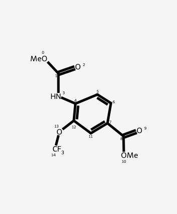 COC(=O)Nc1ccc(C(=O)OC)cc1OC(F)(F)F